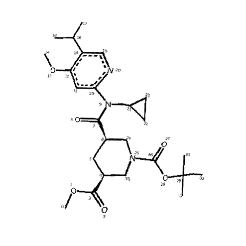 COC(=O)[C@H]1C[C@@H](C(=O)N(c2cc(OC)c(C(C)C)cn2)C2CC2)CN(C(=O)OC(C)(C)C)C1